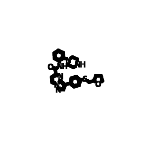 O=C(Nc1ccccc1N1CCNCC1)c1ccn2ncc(-c3ccc(SCC4CCCO4)cc3)c2n1